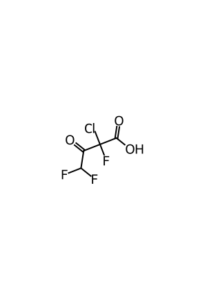 O=C(O)C(F)(Cl)C(=O)C(F)F